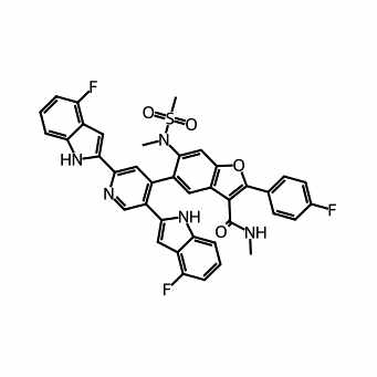 CNC(=O)c1c(-c2ccc(F)cc2)oc2cc(N(C)S(C)(=O)=O)c(-c3cc(-c4cc5c(F)cccc5[nH]4)ncc3-c3cc4c(F)cccc4[nH]3)cc12